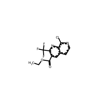 CCOC(=O)c1cc2ccnc(Cl)c2nc1C(F)(F)F